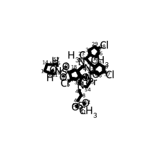 CC(C)Oc1cc(Cl)c(S(=O)(=O)N2C[C@H]3CC[C@@H](C2)O3)cc1C1=N[C@@](C)(c2ccc(Cl)cc2)[C@@](C)(c2ccc(Cl)cc2)N1C(=O)N1CCN(CCCS(C)(=O)=O)CC1